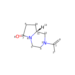 C=C(C)N1CCN2C(=O)CC[C@@H]2C1